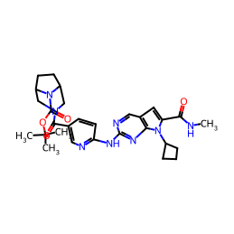 CNC(=O)c1cc2cnc(Nc3ccc(C(=O)N4CC5CCC(C4)N5C(=O)OC(C)(C)C)cn3)nc2n1C1CCC1